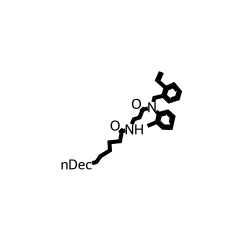 C=Cc1ccccc1CN(C(=O)CCNC(=O)CCCCCCCCCCCCCCC)c1ccccc1C